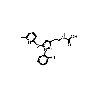 Cc1cccc(Sc2cc(CCNC(=O)O)nn2-c2ccccc2Cl)n1